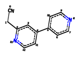 N#CCc1cc(-c2ccncc2)ccn1